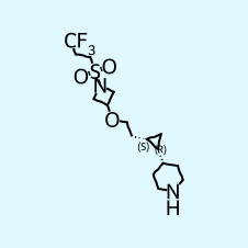 O=S(=O)(CCC(F)(F)F)N1CC(OCC[C@@H]2C[C@@H]2C2CCNCC2)C1